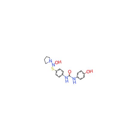 O=C(Nc1ccc(O)cc1)Nc1ccc(SN(O)N2CCCC2)cc1